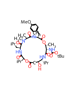 COc1ccc(C[C@H]2C(=O)O[C@H](C)[C@H](NC(=O)OC(C)(C)C)C(=O)N[C@H](C(C)C)[C@@H](O)CC(=O)O[C@@H](C(C)C)C(=O)N[C@@H](CC(C)C)C(=O)N(C)[C@@H](C)C(=O)N2C)cc1